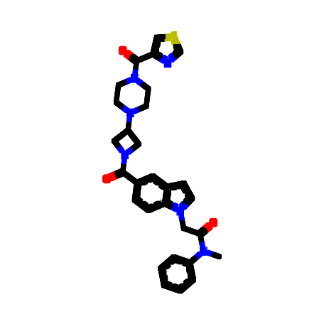 CN(C(=O)Cn1ccc2cc(C(=O)N3CC(N4CCN(C(=O)c5cscn5)CC4)C3)ccc21)c1ccccc1